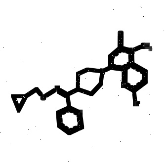 Cn1c(=O)cc(N2CCC(/C(=N/OCC3CC3)c3ccccn3)CC2)c2nc(Br)ccc21